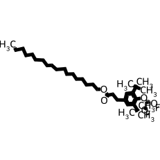 CCCCCCCCCCCCCCCCCCOC(=O)CCc1cc(C(C)(C)C)c(OP(OF)OF)c(C(C)(C)C)c1